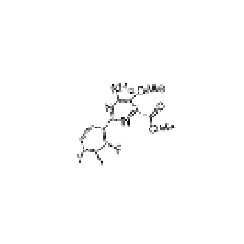 COC(=O)c1nc(-c2ccc(I)c(C)c2F)nc(N)c1OC